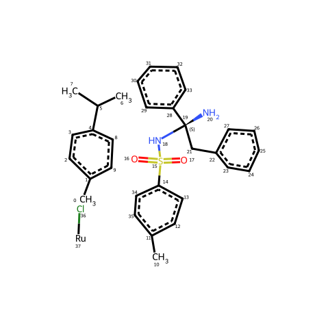 Cc1ccc(C(C)C)cc1.Cc1ccc(S(=O)(=O)N[C@@](N)(Cc2ccccc2)c2ccccc2)cc1.[Cl][Ru]